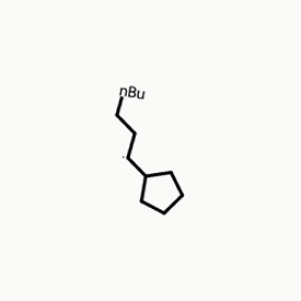 [CH2]CCCCC[CH]C1CCCC1